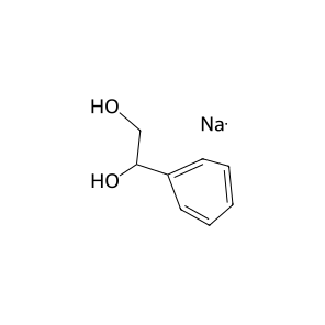 OCC(O)c1ccccc1.[Na]